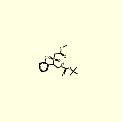 COC(=O)CS(=O)(=O)C(CNC(=O)OC(C)(C)C)c1ccccc1Cl